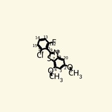 COc1cc(OC)c2sc(-c3c(F)cccc3Cl)nc2c1